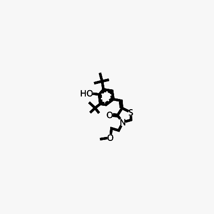 COCCN1CSC(=Cc2cc(C(C)(C)C)c(O)c(C(C)(C)C)c2)C1=O